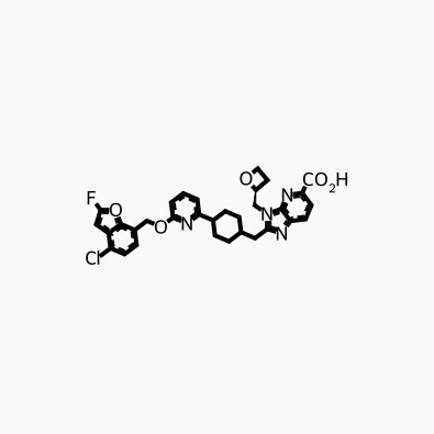 O=C(O)c1ccc2nc(CC3CCC(c4cccc(OCc5ccc(Cl)c6cc(F)oc56)n4)CC3)n(C[C@@H]3CCO3)c2n1